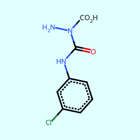 NN(C(=O)O)C(=O)Nc1cccc(Cl)c1